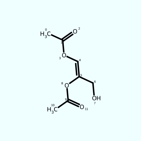 CC(=O)OC=C(CO)OC(C)=O